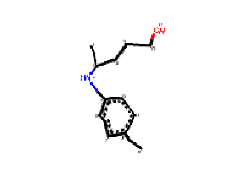 Cc1ccc(NC(C)CCCO)cc1